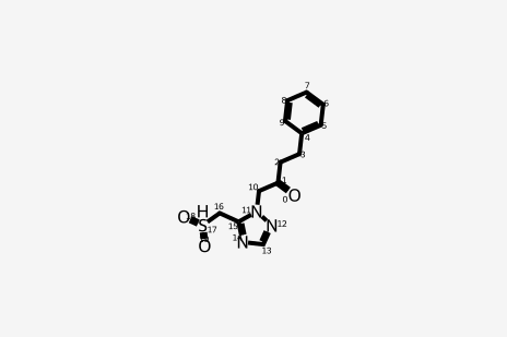 O=C(CCc1ccccc1)Cn1ncnc1C[SH](=O)=O